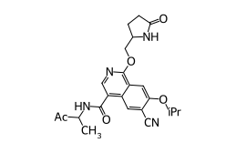 CC(=O)C(C)NC(=O)c1cnc(OCC2CCC(=O)N2)c2cc(OC(C)C)c(C#N)cc12